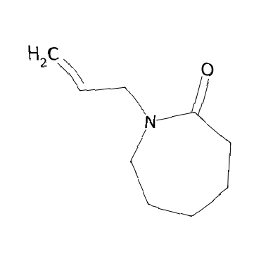 C=CCN1CCCCCC1=O